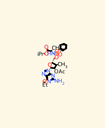 CCOc1nc(N)nc2c1ncn2[C@@H]1O[C@H](CO[P@](=O)(N[C@H](C)C(=O)OC(C)C)Oc2ccccc2)[C@@H](C)[C@H]1OC(C)=O